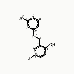 Oc1ccc(F)cc1CNc1ccnc(Br)c1